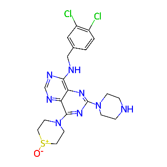 [O-][S+]1CCN(c2nc(N3CCNCC3)nc3c(NCc4ccc(Cl)c(Cl)c4)ncnc23)CC1